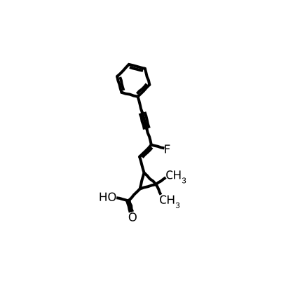 CC1(C)C(C=C(F)C#Cc2ccccc2)C1C(=O)O